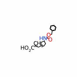 C[C@H](CC1CCC(NC(=O)OCc2ccccc2)C1)C(=O)O